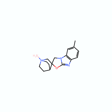 [BH3-][N+]12CCC(CC1)C1(Cn3c(nc4ccc(C)cc43)O1)C2